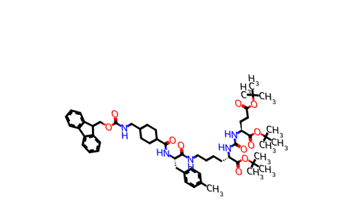 Cc1ccc(C[C@H](NC(=O)C2CCC(CNC(=O)OCC3c4ccccc4-c4ccccc43)CC2)C(=O)NCCCC[C@H](NC(=O)N[C@@H](CCC(=O)OC(C)(C)C)C(=O)OC(C)(C)C)C(=O)OC(C)(C)C)cc1